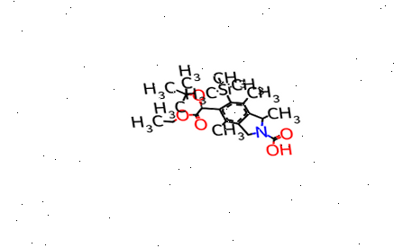 CCOC(=O)[C@@H](OC(C)(C)C)c1c(C)c2c(c(C)c1[Si](C)(C)C)C(C)N(C(=O)O)C2